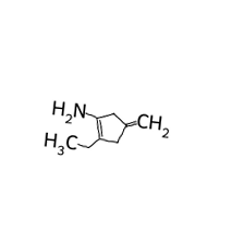 C=C1CC(N)=C(CC)C1